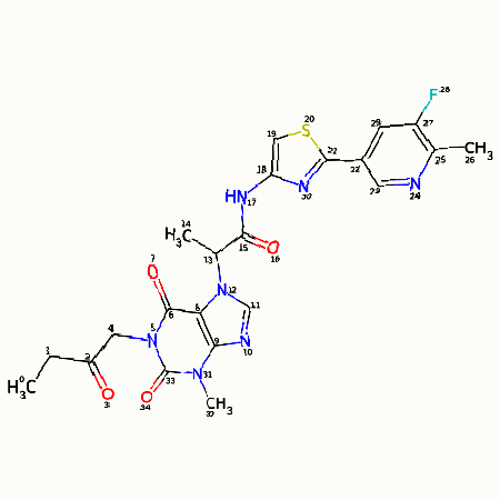 CCC(=O)Cn1c(=O)c2c(ncn2C(C)C(=O)Nc2csc(-c3cnc(C)c(F)c3)n2)n(C)c1=O